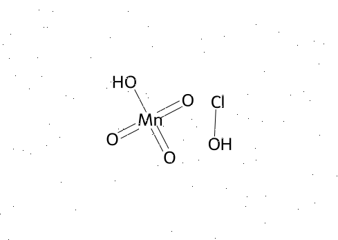 OCl.[O]=[Mn](=[O])(=[O])[OH]